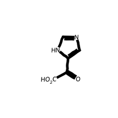 O=C(O)C(=O)c1cnc[nH]1